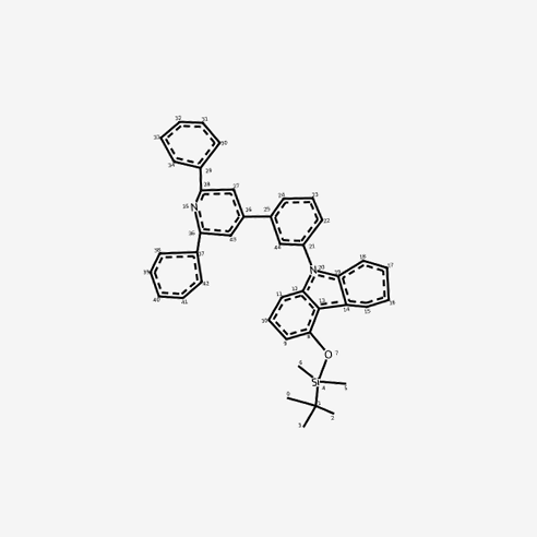 CC(C)(C)[Si](C)(C)Oc1cccc2c1c1ccccc1n2-c1cccc(-c2cc(-c3ccccc3)nc(-c3ccccc3)c2)c1